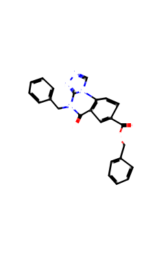 O=C(OCc1ccccc1)c1ccc2c(c1)c(=O)n(Cc1ccccc1)c1nncn21